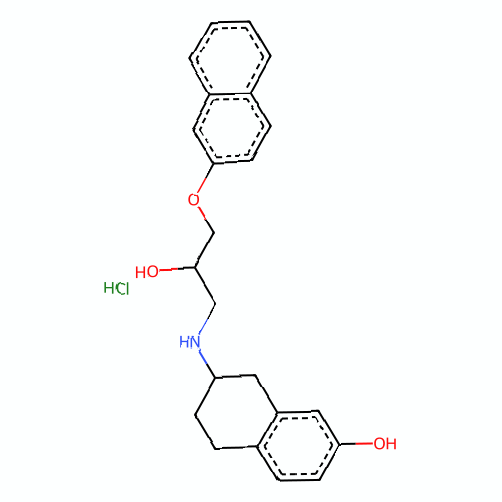 Cl.Oc1ccc2c(c1)CC(NCC(O)COc1ccc3ccccc3c1)CC2